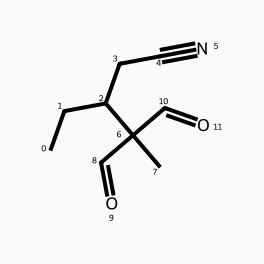 CCC(CC#N)C(C)(C=O)C=O